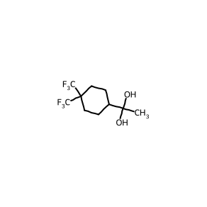 CC(O)(O)C1CCC(C(F)(F)F)(C(F)(F)F)CC1